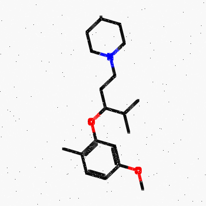 COc1ccc(C)c(OC(CCN2CC[CH]CC2)C(C)C)c1